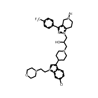 CC(=O)N1CCc2c(c(-c3ccc(C(F)(F)F)cc3)nn2CC(O)CN2CCC(c3cn(CCN4CCOCC4)c4cc(Cl)ccc34)CC2)C1